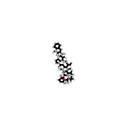 CCC(C)C(C(CC(=O)N1CCC[C@H]1C(OC)C(C)C(=O)NC(Cc1ccccc1)C(=O)OC)OC)N(C)C(=O)C(NC(=O)[C@@H]1[C@H]2CC[C@H](C2)N1C(=O)OC(C)(C)C)C(C)C